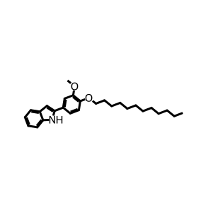 CCCCCCCCCCCCOc1ccc(-c2cc3ccccc3[nH]2)cc1OC